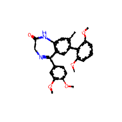 COc1ccc(C2=NCC(=O)Nc3cc(C)c(-c4c(OC)cccc4OC)cc32)cc1OC